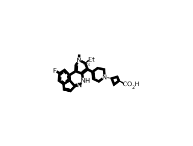 CC[C@H]1C(C2=CCN([C@H]3C[C@H](C(=O)O)C3)CC2)=C2NN=C3C=Cc4cc(F)cc(c43)C2=CN1C